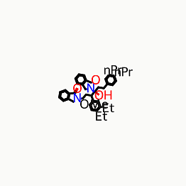 CCCc1ccc(CCC(O)(C(CC(OC)N2Cc3ccccc3C2=O)c2ccc(CC)c(CC)c2)N2Cc3ccccc3C2=O)cc1CCC